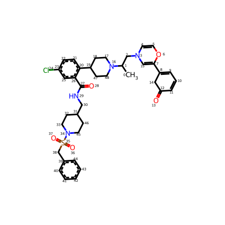 CC(CN1C=COC(C2=CC=CC(=O)C2)=C1)N1CCC(c2ccc(Cl)cc2C(=O)NCC2CCN(S(=O)(=O)Cc3ccccc3)CC2)CC1